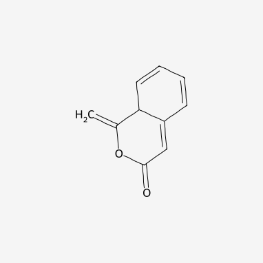 C=C1OC(=O)C=C2C=CC=CC12